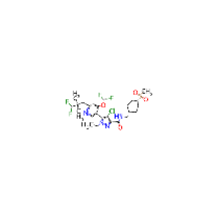 CCn1nc(C(=O)NC[C@H]2CC[C@@H](S(C)(=O)=O)CC2)c(Cl)c1-c1cnc(CC(C)(C)C(F)F)cc1OC(F)F